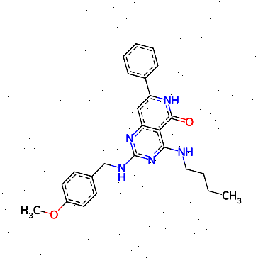 CCCCNc1nc(NCc2ccc(OC)cc2)nc2cc(-c3ccccc3)[nH]c(=O)c12